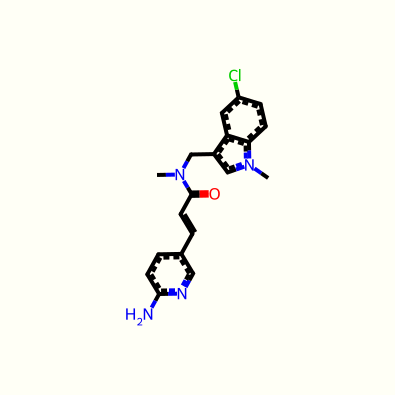 CN(Cc1cn(C)c2ccc(Cl)cc12)C(=O)C=Cc1ccc(N)nc1